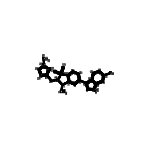 CC1c2cc(-c3c[nH]c4cc(F)ccc34)ccc2S(=O)(=O)N1Cc1ncn(C)n1